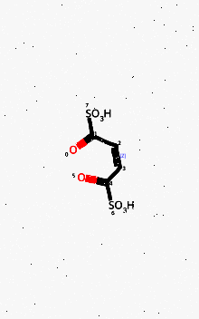 O=C(/C=C\C(=O)S(=O)(=O)O)S(=O)(=O)O